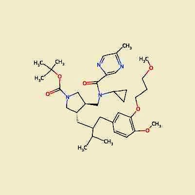 COCCCOc1cc(CC(C[C@@H]2CN(C(=O)OC(C)(C)C)C[C@H]2CN(C(=O)c2cnc(C)cn2)C2CC2)C(C)C)ccc1OC